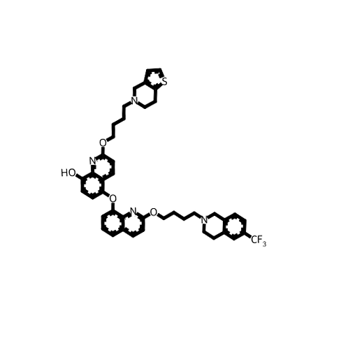 Oc1ccc(Oc2cccc3ccc(OCCCCN4CCc5cc(C(F)(F)F)ccc5C4)nc23)c2ccc(OCCCCN3CCc4sccc4C3)nc12